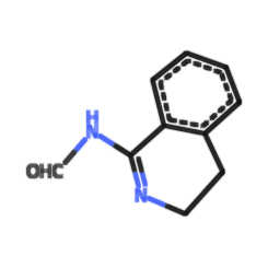 O=CNC1=NCCc2ccccc21